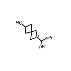 CCCC(CCC)N1CC2(CC(O)C2)C1